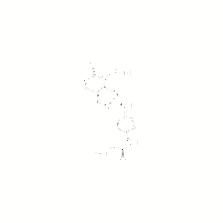 CCCCCn1c(=O)ccc2cnc(Nc3ccc(NC(=O)OC(C)(C)C)cc3)nc21